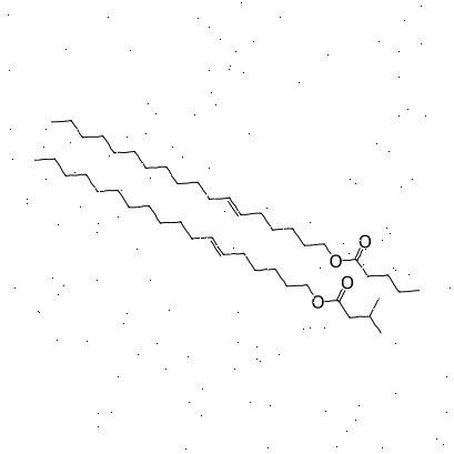 CCCCCCCCCCC/C=C/CCCCCOC(=O)CC(C)C.CCCCCCCCCCC/C=C/CCCCCOC(=O)CCCC